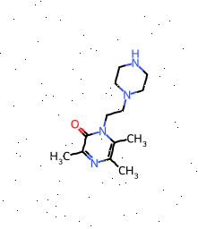 Cc1nc(C)c(=O)n(CCN2CCNCC2)c1C